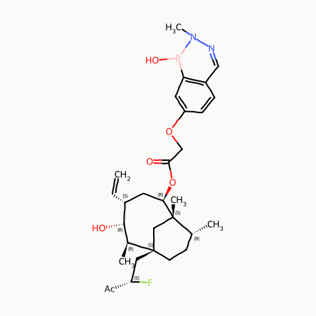 C=C[C@@H]1C[C@@H](OC(=O)COc2ccc3c(c2)B(O)N(C)N=C3)[C@@]2(C)C[C@](C[C@H](F)C(C)=O)(CC[C@H]2C)[C@@H](C)[C@@H]1O